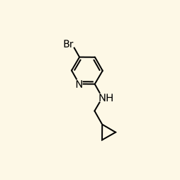 Brc1ccc(NCC2CC2)nc1